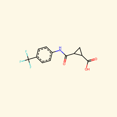 O=C(O)C1CC1C(=O)Nc1ccc(C(F)(F)F)cc1